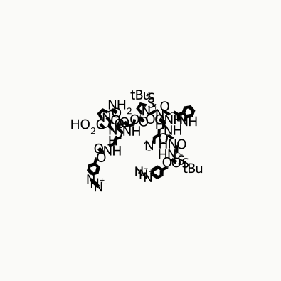 CN(C)CCCC[C@H](NC(=O)CNC(=O)[C@H](CSSC(C)(C)C)NC(=O)OCc1ccc(N=[N+]=[N-])cc1)C(=O)N[C@@H](Cc1c[nH]c2ccccc12)C(=O)N[C@@H](CSSC(C)(C)C)C(=O)N1CCC[C@H]1C(=O)OCC(=O)N[C@@H](CCCCNC(=O)OCc1ccc(N=[N+]=[N-])cc1)C(=O)N[C@@H](CC(=O)O)C(=O)N1CCC[C@H]1C(N)=O